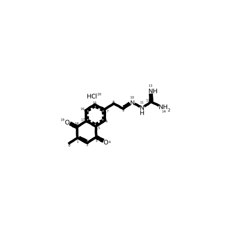 CC1=CC(=O)c2cc(CC=NNC(=N)N)ccc2C1=O.Cl